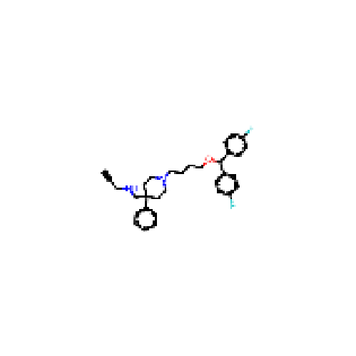 C#CCNCC1(c2ccccc2)CCN(CCCCOC(c2ccc(F)cc2)c2ccc(F)cc2)CC1